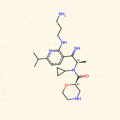 CC(C)c1ccc(C(=N)[C@@H](C)N(C(=O)[C@H]2CNCCO2)C2CC2)c(NCCCN)n1